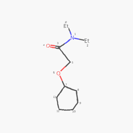 CCN(CC)C(=O)COC1CCCCC1